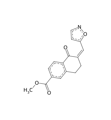 COC(=O)c1ccc2c(c1)CC/C(=C/c1ccno1)C2=O